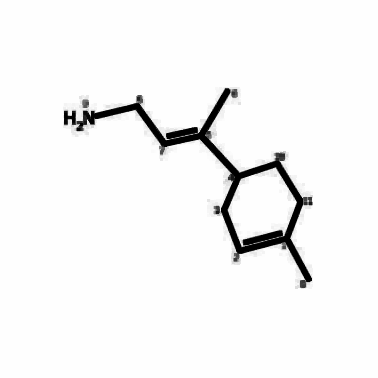 CC1=CCC(C(C)=CCN)CC1